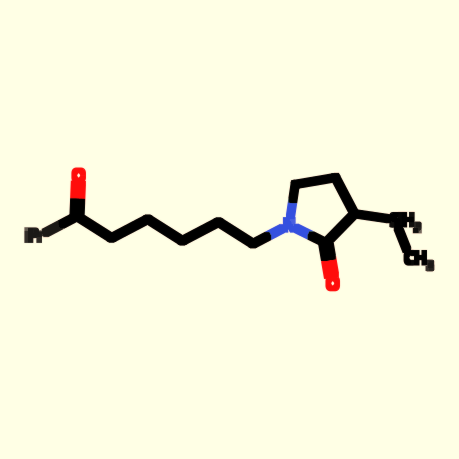 C[SiH2]C1CCN(CCCCCC(=O)C(C)C)C1=O